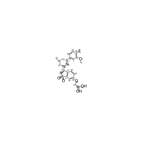 COc1cc(/C=N/N(CC(C)C)C2=NS(=O)(=O)c3cc(OCB(O)O)ccc32)ccc1F